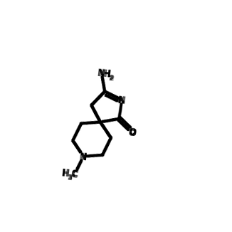 CN1CCC2(CC1)CC(N)=NC2=O